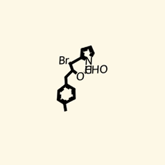 Cc1ccc(CC(OC=O)C(Br)c2ccc[nH]2)cc1